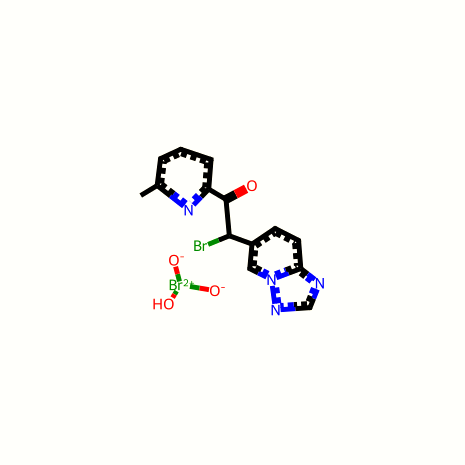 Cc1cccc(C(=O)C(Br)c2ccc3ncnn3c2)n1.[O-][Br+2]([O-])O